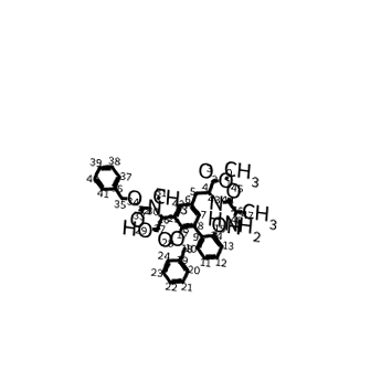 COC(=O)C(Cc1cc(-c2ccccc2O)c(OCc2ccccc2)c(C(C(=O)O)N(C)C(=O)OCc2ccccc2)c1)NC(=O)C(C)N